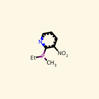 CCP(C)c1ncccc1[N+](=O)[O-]